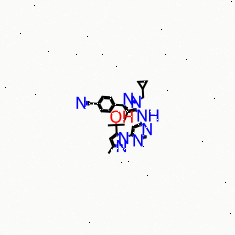 Cc1cc(C(C)(C)O)n(-c2cc(Nc3c(C)c(-c4ccc(C#N)cc4)nn3CC3CC3)ncn2)n1